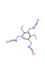 CCc1c(CN=C=O)cc(CN=C=O)c(CC)c1CN=C=O